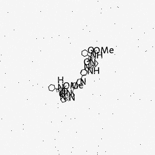 COC(=O)N[C@H](C(=O)N1CCC[C@H]1c1nc2ccc(-c3cc4ccc(-c5cnc([C@@H]6CCCN6OC[C@@H](NC(=O)OC)C6CCCCC6)[nH]5)cc4cn3)cc2[nH]1)C1CCCCC1